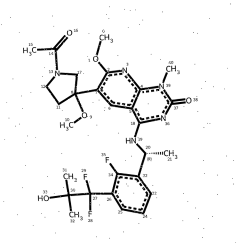 COc1nc2c(cc1C1(OC)CCN(C(C)=O)C1)c(N[C@H](C)c1cccc(C(F)(F)C(C)(C)O)c1F)nc(=O)n2C